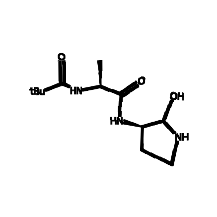 C[C@H](NC(=O)C(C)(C)C)C(=O)N[C@@H]1CCNC1O